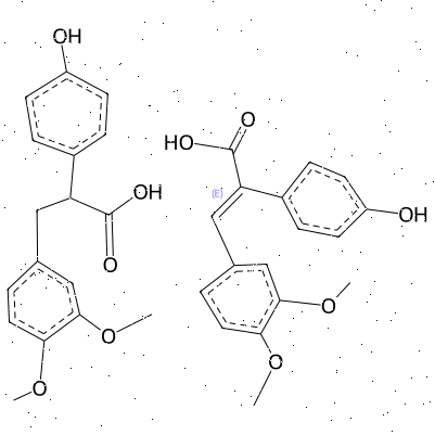 COc1ccc(/C=C(/C(=O)O)c2ccc(O)cc2)cc1OC.COc1ccc(CC(C(=O)O)c2ccc(O)cc2)cc1OC